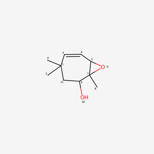 CC1(C)C=CC2OC2(C)C(O)C1